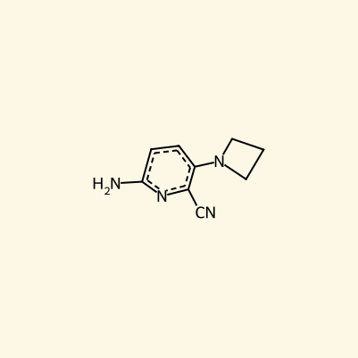 N#Cc1nc(N)ccc1N1CCC1